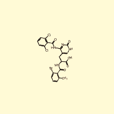 Cc1cccc(Br)c1C(=O)NC(Cc1c[nH]c(=O)nc1NC(=O)c1c(Cl)cccc1Cl)C(=O)O